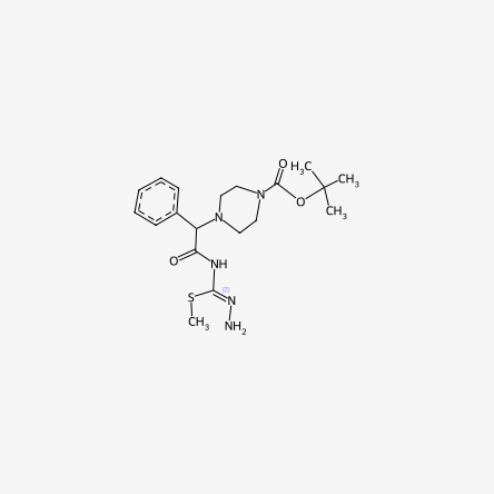 CS/C(=N\N)NC(=O)C(c1ccccc1)N1CCN(C(=O)OC(C)(C)C)CC1